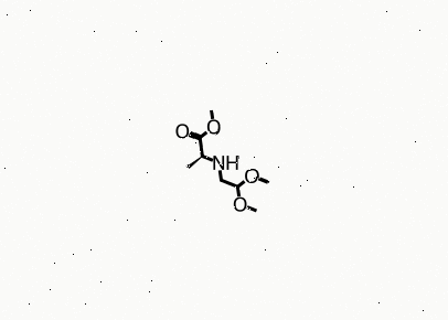 COC(=O)[C@H](C)NCC(OC)OC